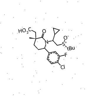 CC(C)(C)[S+]([O-])CC(C1CC1)N1C(=O)[C@@](C)(CC(=O)O)CCC1c1ccc(Cl)c(F)c1